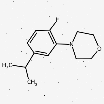 CC(C)c1ccc(F)c(N2CCOCC2)c1